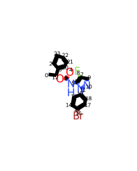 CC(OC(=O)Nc1c(F)cnn1-c1ccc(Br)cc1)c1ccccc1